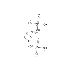 CC.CCC.N.OP(O)(O)=S.OP(O)(O)=S